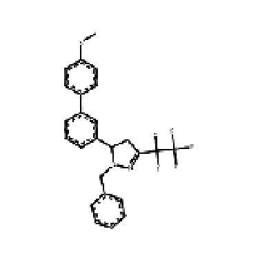 CSc1ccc(-c2cccc(C3CC(C(F)(F)C(F)(F)F)=NN3Cc3ccccc3)c2)cc1